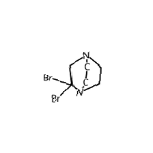 BrC1(Br)CN2CCN1CC2